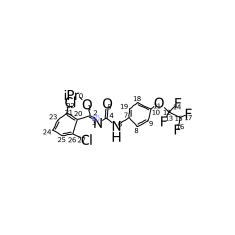 CC(C)O/C(=N\C(=O)Nc1ccc(OC(F)(F)C(F)F)cc1)c1c(Cl)cccc1Cl